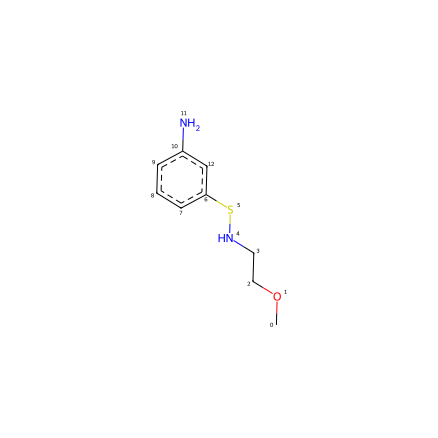 COCCNSc1cccc(N)c1